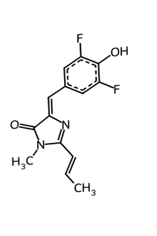 C/C=C/C1=NC(=C\c2cc(F)c(O)c(F)c2)/C(=O)N1C